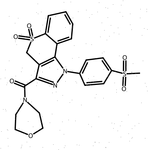 CS(=O)(=O)c1ccc(-n2nc(C(=O)N3CCOCC3)c3c2-c2ccccc2S(=O)(=O)C3)cc1